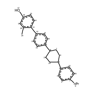 CCCc1ccc(C2CCC(c3ccc(-c4ccc(O)cc4C)cc3)CC2)cc1